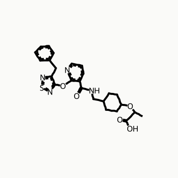 CC(OC1CCC(CNC(=O)c2cccnc2Oc2nsnc2Cc2ccccc2)CC1)C(=O)O